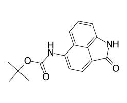 CC(C)(C)OC(=O)Nc1ccc2c3c(cccc13)NC2=O